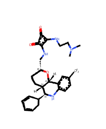 CN(C)CCNc1c(NC[C@H]2CC[C@@H]3[C@H](O2)c2cc(C(F)(F)F)ccc2N[C@H]3C2C=CC=CC2)c(=O)c1=O